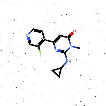 Cn1c(NC2CC2)nc(-c2ccncc2F)cc1=O